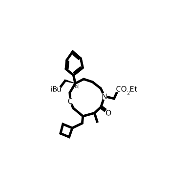 CCOC(=O)CN1CCC[C@@](CC(C)CC)(c2ccccc2)CCCC(CC2CCC2)C(C)C1=O